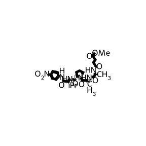 COC(=O)CCC(=O)N[C@@H](C)C(=O)N[C@@H](C)C(=O)N1CCC[C@H]1C(=O)N[C@H](C(=O)Nc1ccc([N+](=O)[O-])cc1)C(C)C